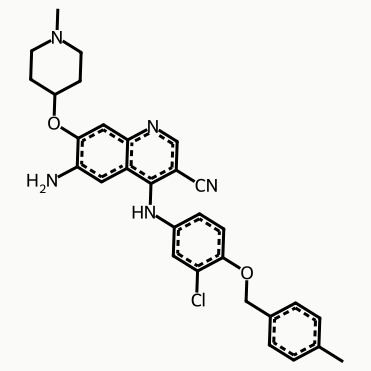 Cc1ccc(COc2ccc(Nc3c(C#N)cnc4cc(OC5CCN(C)CC5)c(N)cc34)cc2Cl)cc1